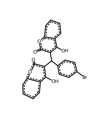 O=c1oc2ccccc2c(O)c1C(c1ccc(Br)cc1)c1c(O)c2ccccc2oc1=O